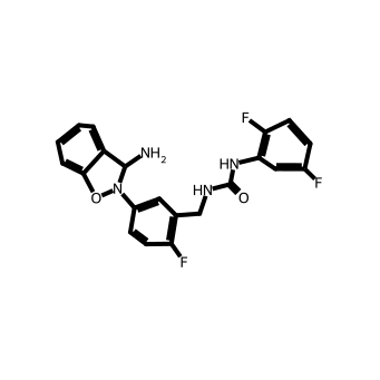 NC1c2ccccc2ON1c1ccc(F)c(CNC(=O)Nc2cc(F)ccc2F)c1